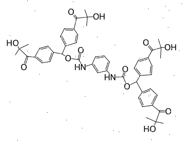 CC(C)(O)C(=O)c1ccc(C(OC(=O)Nc2cccc(NC(=O)OC(c3ccc(C(=O)C(C)(C)O)cc3)c3ccc(C(=O)C(C)(C)O)cc3)c2)c2ccc(C(=O)C(C)(C)O)cc2)cc1